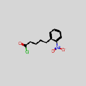 O=C(Cl)CCCCc1ccccc1[N+](=O)[O-]